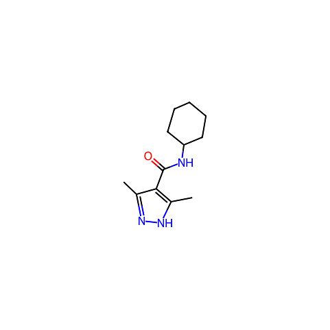 Cc1n[nH]c(C)c1C(=O)NC1CCCCC1